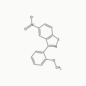 COc1ccccc1-c1nsc2ccc([N+](=O)[O-])cc12